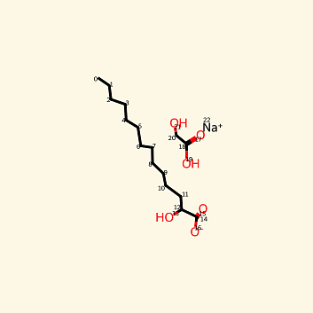 CCCCCCCCCCCCC(O)C(=O)[O-].O=C(O)CO.[Na+]